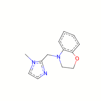 Cn1ccnc1CN1CCOc2ccccc21